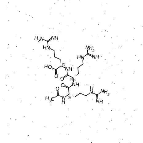 CC(=O)N[C@@H](CCCNC(=N)N)C(=O)N[C@@H](CCCNC(=N)N)C(=O)N[C@@H](CCCNC(=N)N)C(=O)O